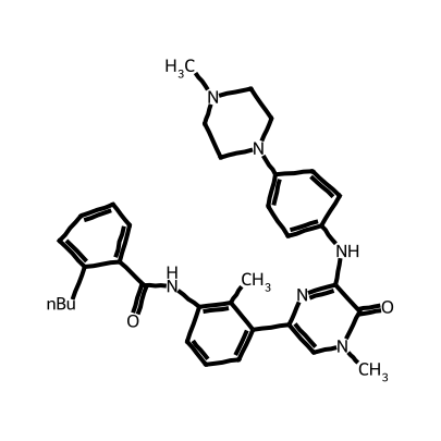 CCCCc1ccccc1C(=O)Nc1cccc(-c2cn(C)c(=O)c(Nc3ccc(N4CCN(C)CC4)cc3)n2)c1C